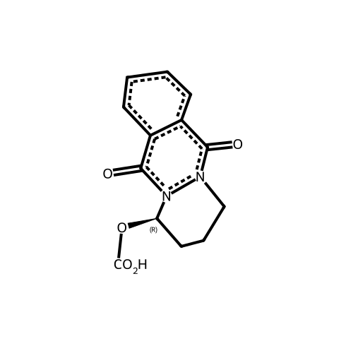 O=C(O)O[C@@H]1CCCn2c(=O)c3ccccc3c(=O)n21